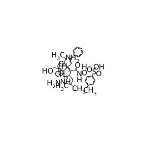 CC(C)C[C@@H](C(=O)NN)[C@H](C(=O)NO)C(/C=C/c1ccccc1)(CC(C)(C)CO)C(=O)[C@@H](C)N.Cc1ccc(S(=O)(=O)O)cc1